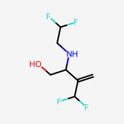 C=C(C(F)F)C(CO)NCC(F)F